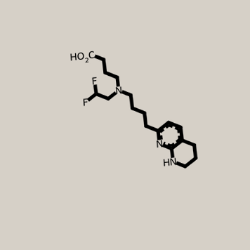 O=C(O)CCCN(CCCCc1ccc2c(n1)NCCC2)CC(F)F